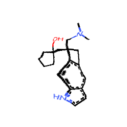 CN(C)CC1(C2(O)CCCC2)Cc2cc3cc[nH]c3cc21